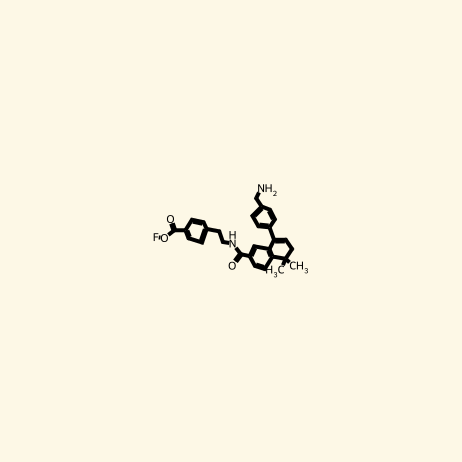 CC1(C)CC=C(c2ccc(CN)cc2)c2cc(C(=O)NCCc3ccc(C(=O)OF)cc3)ccc21